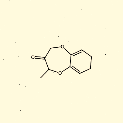 CC1OC2=CCCC=C2OCC1=O